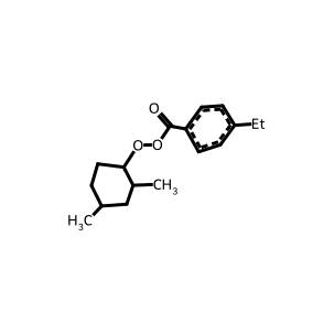 CCc1ccc(C(=O)OO[C]2CCC(C)CC2C)cc1